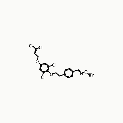 CC(C)ON=Cc1ccc(CCOc2c(Cl)cc(OCC=C(Cl)Cl)cc2Cl)cc1